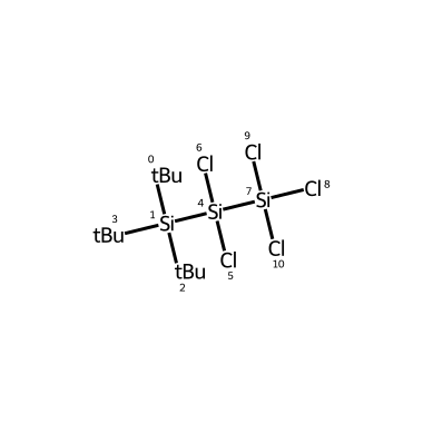 CC(C)(C)[Si](C(C)(C)C)(C(C)(C)C)[Si](Cl)(Cl)[Si](Cl)(Cl)Cl